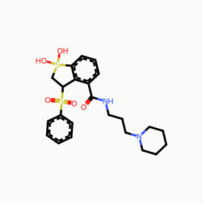 O=C(NCCCN1CCCCC1)c1cccc2c1C(S(=O)(=O)c1ccccc1)CS2(O)O